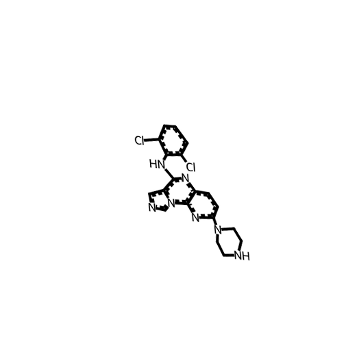 Clc1cccc(Cl)c1Nc1nc2ccc(N3CCNCC3)nc2n2cncc12